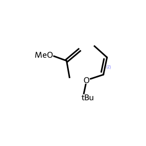 C/C=C\OC(C)(C)C.C=C(C)OC